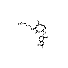 Cc1cc2c(F)c(Oc3cc(C)c(OCCCO)cn(C)ncn3)ccc2[nH]1